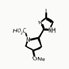 COC1CC(c2nc(I)c[nH]2)N(C(=O)O)C1